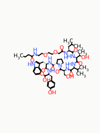 CCCC(=O)NCCOCCOCC(=O)N[C@@H](CC(C)C)C(=O)N[C@H](C(=O)NC(C(=O)N[C@@H](CO)C(=O)N1CCC[C@H]1C(=O)N[C@@H](Cc1c[nH]c2ccccc12)C(=O)N[C@@H](Cc1ccc(O)cc1)C(=O)O)C(C)C)[C@@H](C)O